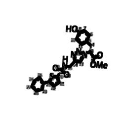 COC(=O)[C@@H](Cc1ccc(O)cc1)n1cc(CNS(=O)(=O)c2ccc(-c3ccccc3)s2)nn1